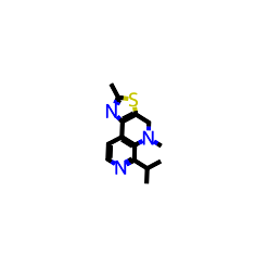 Cc1nc2c(s1)CN(C)c1c-2ccnc1C(C)C